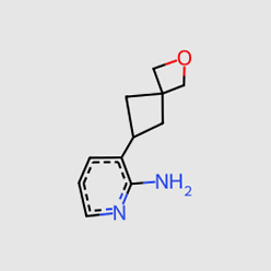 Nc1ncccc1C1CC2(COC2)C1